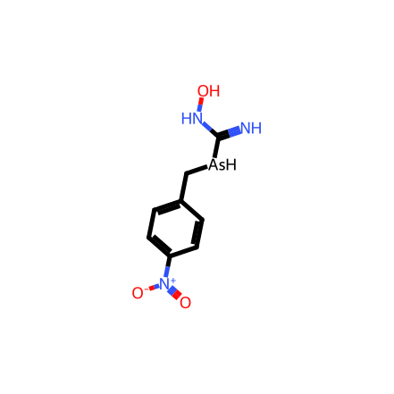 N=C(NO)[AsH]Cc1ccc([N+](=O)[O-])cc1